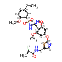 C=C(F)C(=O)NCc1cnc(Oc2cc(OC)c3c(NS(=O)(=O)c4cc(CC)ccc4OC)noc3c2)s1